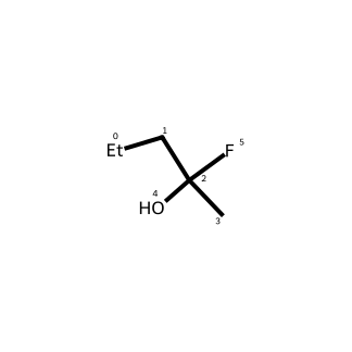 CCCC(C)(O)F